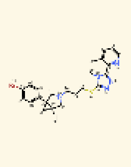 Cc1cccnc1-c1nnc(SCCCN2C[C@@H]3CC3(c3ccc(Br)cc3)C2)n1C